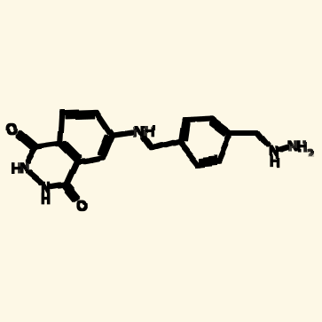 NNCc1ccc(CNc2ccc3c(=O)[nH][nH]c(=O)c3c2)cc1